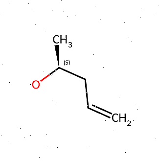 C=CC[C@H](C)[O]